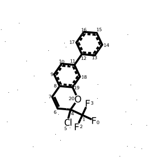 FC(F)(F)C1(Cl)C=Cc2ccc(-c3ccccc3)cc2O1